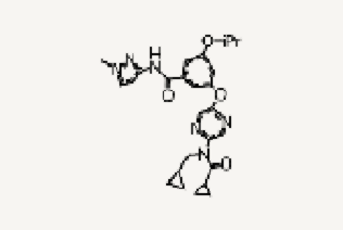 CC(C)Oc1cc(Oc2cnc(N(CC3CC3)C(=O)C3CC3)cn2)cc(C(=O)Nc2ccn(C)n2)c1